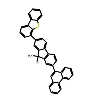 CC1(C)c2cc(-c3cc4ccccc4c4ccccc34)ccc2-c2ccc(-c3cccc4c3sc3ccccc34)cc21